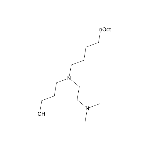 CCCCCCCCCCCCN(CCCO)CCN(C)C